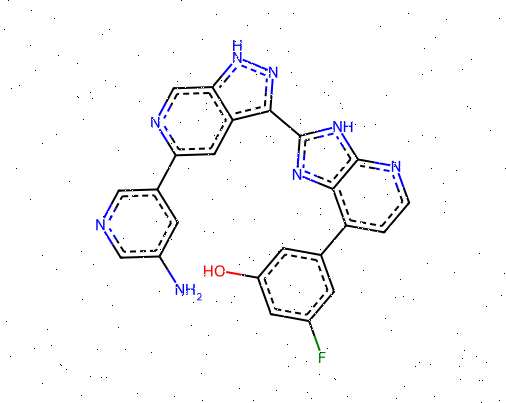 Nc1cncc(-c2cc3c(-c4nc5c(-c6cc(O)cc(F)c6)ccnc5[nH]4)n[nH]c3cn2)c1